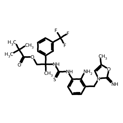 Cc1cn(Cc2cccc(NC(=S)NC(C)(COC(=O)C(C)(C)C)c3cccc(C(F)(F)F)c3)c2N)c(=N)o1